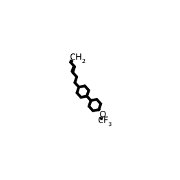 C=C/C=C/CCC1CCC(C2CCC(OC(F)(F)F)CC2)CC1